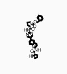 O=C(Nc1ccc2cc(-c3cnc(NC(=O)[C@@H]4CCCN4C(=O)OCc4ccccc4)nc3)ccc2n1)[C@@H]1CCCN1